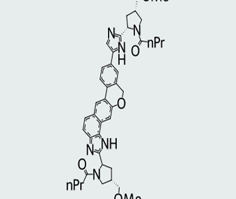 CCCC(=O)N1C[C@@H](COC)CC1c1nc2ccc3cc4c(cc3c2[nH]1)OCc1cc(-c2cnc([C@@H]3C[C@H](COC)CN3C(=O)CCC)[nH]2)ccc1-4